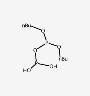 CCCCOP(OCCCC)OP(O)O